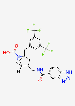 O=C(NCC1C[C@]2(Cc3cc(C(F)(F)F)cc(C(F)(F)F)c3)C[C@H]1CN2C(=O)O)c1ccc2[nH]nnc2c1